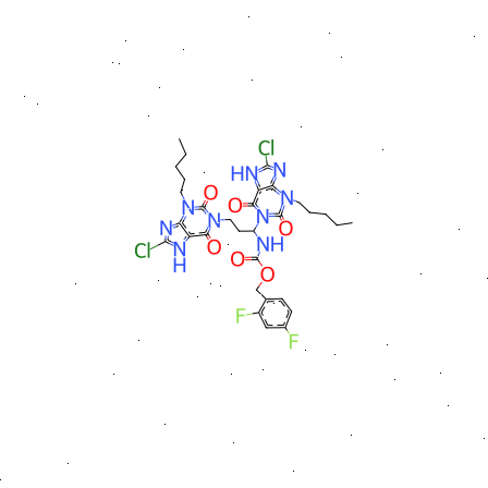 CCCCCn1c(=O)n(CCC(NC(=O)OCc2ccc(F)cc2F)n2c(=O)c3[nH]c(Cl)nc3n(CCCCC)c2=O)c(=O)c2[nH]c(Cl)nc21